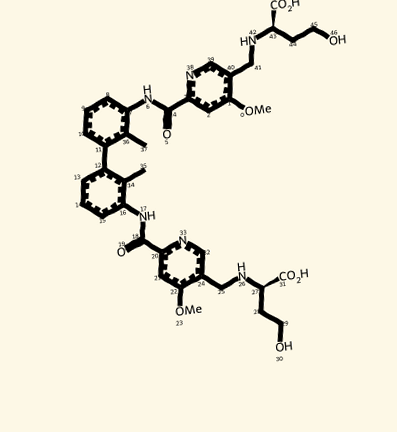 COc1cc(C(=O)Nc2cccc(-c3cccc(NC(=O)c4cc(OC)c(CN[C@H](CCO)C(=O)O)cn4)c3C)c2C)ncc1CN[C@H](CCO)C(=O)O